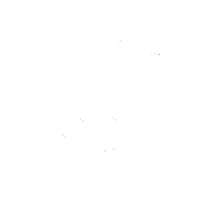 CCCCCc1nc2cc(OC)c(OC)cc2c(=O)n1N